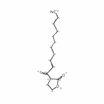 N#CCCCCCCCCCC(=O)C1CCOC1=O